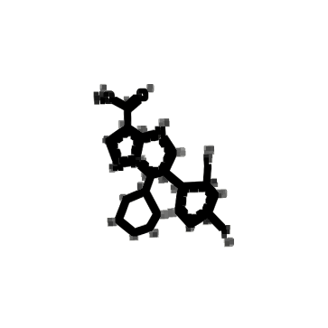 O=C(O)c1cnn2c(C3CCCCC3)c(-c3ccc(F)cc3F)cnc12